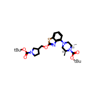 C[C@H]1CN(c2cccc3sc(OCC4CCN(C(=O)OC(C)(C)C)C4)nc23)C[C@H](C)N1C(=O)OC(C)(C)C